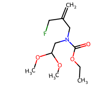 C=C(CF)CN(CC(OC)OC)C(=O)OCC